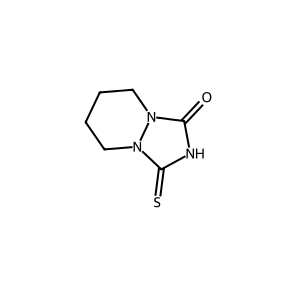 O=c1[nH]c(=S)n2n1CCCC2